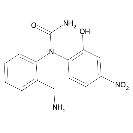 NCc1ccccc1N(C(N)=O)c1ccc([N+](=O)[O-])cc1O